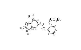 CCOC(=O)Cc1ccccc1OCc1cc(Br)c2oc(C)c(C)c2c1